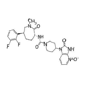 CN1C[C@H](c2cccc(F)c2F)CC[C@@H](NC(=O)N2CCC(n3c(=O)[nH]c4c3ccc[n+]4[O-])CC2)C1=O